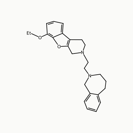 CCOc1cccc2c3c(oc12)CN(CCN1CCCc2ccccc2C1)CC3